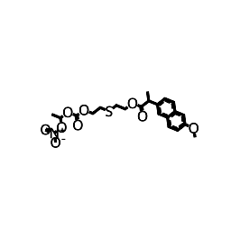 COc1ccc2cc(C(C)C(=O)OCCSCCOC(=O)OC(C)O[N+](=O)[O-])ccc2c1